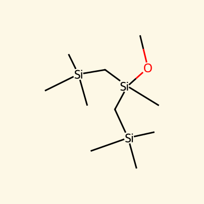 CO[Si](C)(C[Si](C)(C)C)C[Si](C)(C)C